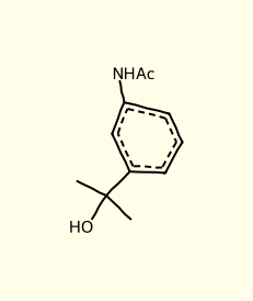 CC(=O)Nc1cccc(C(C)(C)O)c1